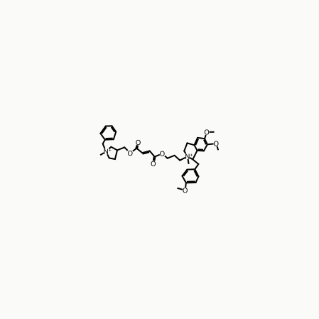 COc1ccc(CC2c3cc(OC)c(OC)cc3CC[N+]2(C)CCCOC(=O)C=CC(=O)OCC2CC[N+](C)(Cc3ccccc3)C2)cc1